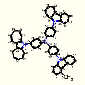 Cc1cccc2c1c1ccccc1n2-c1ccc(N(c2ccc(-n3c4c(c5c3C=CC=CC5)C=CCC=C4)cc2)c2ccc(-n3c4ccccc4c4ccccc43)cc2)cc1